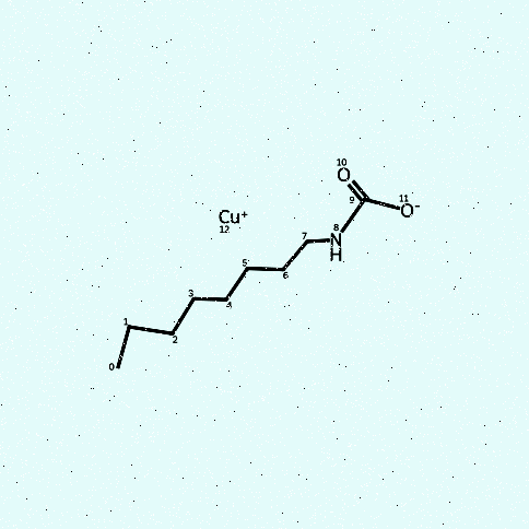 CCCCCCCCNC(=O)[O-].[Cu+]